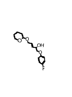 OC(C=CCOC1CCCCO1)COc1ccc(F)cc1